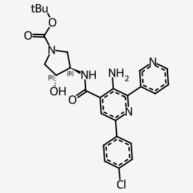 CC(C)(C)OC(=O)N1C[C@@H](O)[C@H](NC(=O)c2cc(-c3ccc(Cl)cc3)nc(-c3cccnc3)c2N)C1